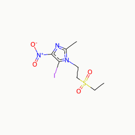 CCS(=O)(=O)CCn1c(C)nc([N+](=O)[O-])c1I